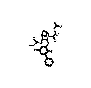 CC[S+]([O-])NC1C2CC(C2)N(C(=O)[C@@H](C)OC(C)=O)C1Cc1cc(F)cc(-c2ccccc2)c1F